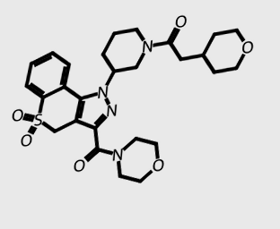 O=C(CC1CCOCC1)N1CCCC(n2nc(C(=O)N3CCOCC3)c3c2-c2ccccc2S(=O)(=O)C3)C1